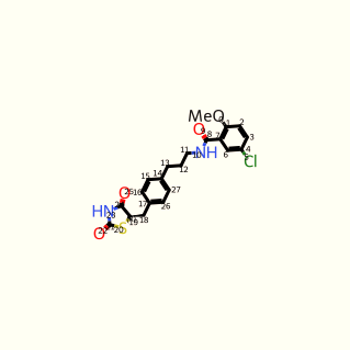 COc1ccc(Cl)cc1C(=O)NCCCc1ccc(C[C@H]2SC(=O)NC2=O)cc1